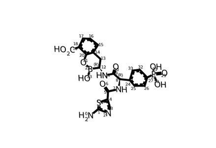 Nc1ncc(C(=O)N[C@@H](C(=O)N[C@H]2Cc3cccc(C(=O)O)c3OB2O)c2ccc(P(=O)(O)O)cc2)s1